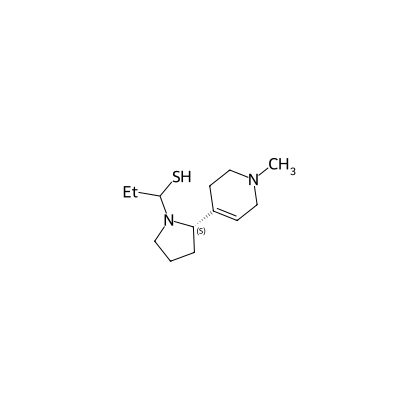 CCC(S)N1CCC[C@H]1C1=CCN(C)CC1